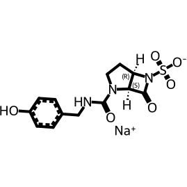 O=C(NCc1ccc(O)cc1)N1CC[C@@H]2[C@H]1C(=O)N2S(=O)(=O)[O-].[Na+]